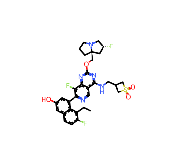 CCc1c(F)ccc2cc(O)cc(-c3ncc4c(NCC5CS(=O)(=O)C5)nc(OC[C@@]56CCCN5C[C@H](F)C6)nc4c3F)c12